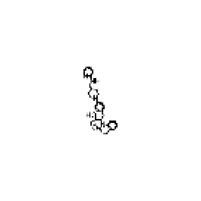 O=C(O)C(Cc1ccc(N2CCC(CNc3ccccn3)CC2)cc1)N1C(=O)CCc2ccccc21